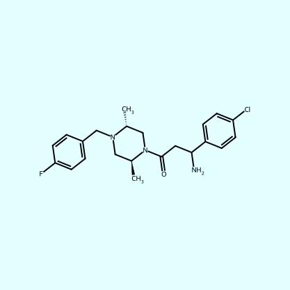 C[C@@H]1CN(C(=O)CC(N)c2ccc(Cl)cc2)[C@@H](C)CN1Cc1ccc(F)cc1